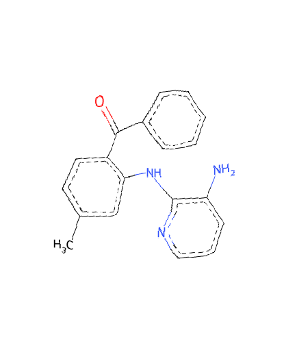 Cc1ccc(C(=O)c2ccccc2)c(Nc2ncccc2N)c1